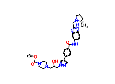 C[C@H]1CCCN1Cc1nc2cc(NC(=O)c3ccc(-c4cnn(CC(O)CN5CCN(C(=O)OC(C)(C)C)CC5)c4)cc3)ccc2[nH]1